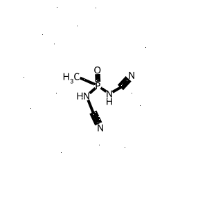 CP(=O)(NC#N)NC#N